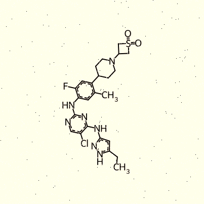 CCc1cc(Nc2nc(Nc3cc(C)c(C4CCN(C5CS(=O)(=O)C5)CC4)cc3F)ncc2Cl)n[nH]1